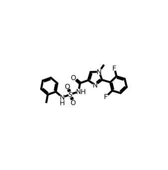 Cc1ccccc1NS(=O)(=O)NC(=O)c1cn(C)c(-c2c(F)cccc2F)n1